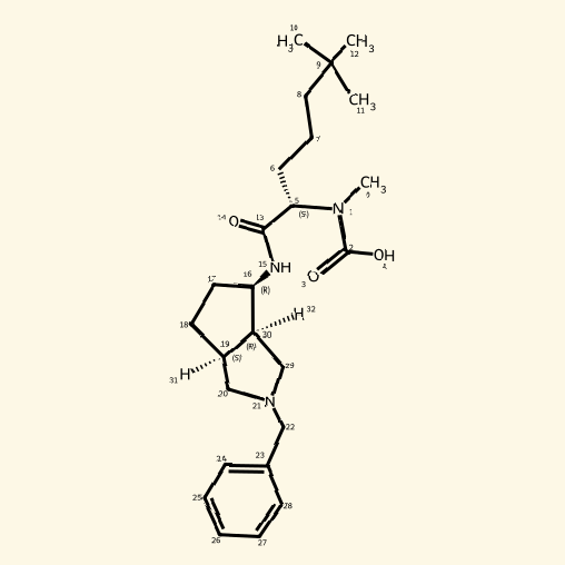 CN(C(=O)O)[C@@H](CCCC(C)(C)C)C(=O)N[C@@H]1CC[C@@H]2CN(Cc3ccccc3)C[C@@H]21